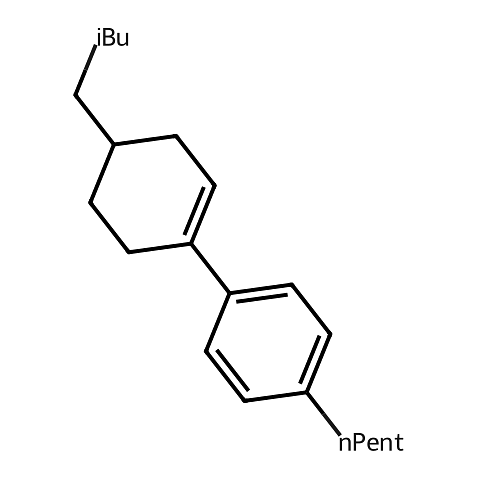 CCCCCc1ccc(C2=CCC(CC(C)CC)CC2)cc1